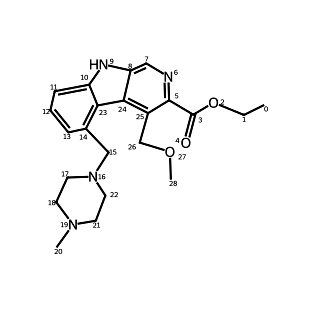 CCOC(=O)c1ncc2[nH]c3cccc(CN4CCN(C)CC4)c3c2c1COC